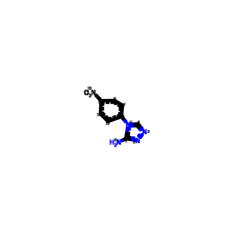 Nc1nncn1-c1ccc([N+](=O)[O-])cc1